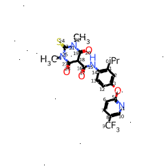 CC(C)c1cc(Oc2ccc(C(F)(F)F)cn2)ccc1NC(=O)C1C(=O)N(C)C(=S)N(C)C1=O